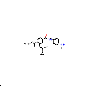 C=C(COC)c1ccc(C(=O)NCc2ccc(NCC)cc2)cc1/C=C(\CCC)C1CC1